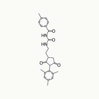 Cc1ccc(C(=O)NC(=O)NCCC2CC(=O)C(c3c(C)cc(C)cc3C)C2=O)cc1